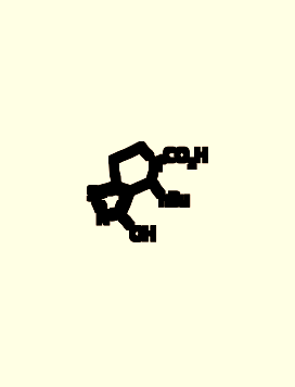 CCCCC1c2c(O)nsc2CCN1C(=O)O